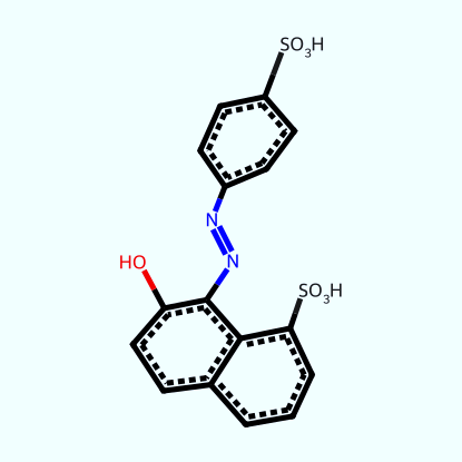 O=S(=O)(O)c1ccc(N=Nc2c(O)ccc3cccc(S(=O)(=O)O)c23)cc1